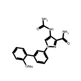 COc1ccccc1-c1cccc(-n2cc(NC(N)=O)c(C(N)=O)n2)c1